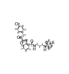 O=C(NCCCNS(=O)(=O)C(F)(F)F)c1cccc2oc([S+]([O-])Cc3ccc(Cl)cc3)nc12